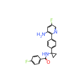 Nc1cc(F)cnc1-c1ccc(C2(NC(=O)c3ccc(F)cc3)CC2)cc1